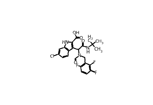 CC(C)(C)NC(=O)C(c1c(C(=O)O)[nH]c2cc(Cl)ccc12)N(C=O)Cc1c(F)ccc(F)c1F